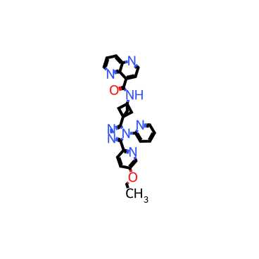 CCOc1ccc(-c2nnc(C34CC(NC(=O)c5ccnc6cccnc56)(C3)C4)n2-c2ccccn2)nc1